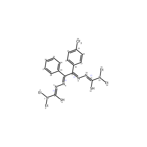 CCN(CC)/C(S)=N/N=C(/C(=N/N=C(\S)N(CC)CC)c1ccc(C(F)(F)F)cc1)c1ccccc1